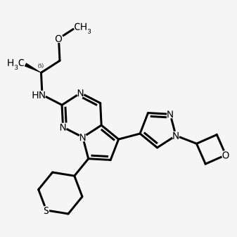 COC[C@H](C)Nc1ncc2c(-c3cnn(C4COC4)c3)cc(C3CCSCC3)n2n1